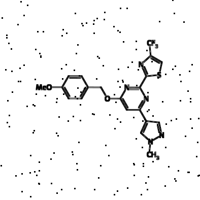 COc1ccc(COc2cc(-c3cnn(C)c3)nc(-c3nc(C(F)(F)F)cs3)n2)cc1